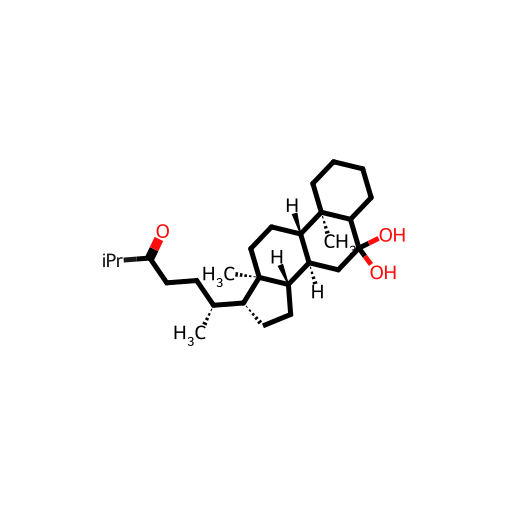 CC(C)C(=O)CC[C@@H](C)[C@H]1CC[C@H]2[C@@H]3CC(O)(O)C4CCCC[C@]4(C)[C@H]3CC[C@]12C